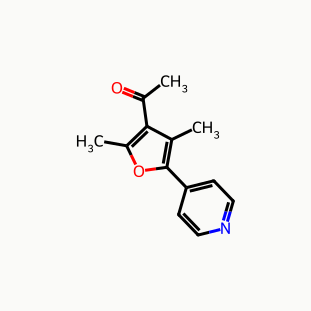 CC(=O)c1c(C)oc(-c2ccncc2)c1C